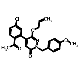 C=CCOc1nn(Cc2ccc(OC)cc2)c(=O)cc1-c1cc(Cl)ccc1C(C)=O